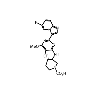 COc1nc(-c2cnc3ccc(F)cn23)nc(NC2CCCN(C(=O)O)C2)c1C(F)(F)F